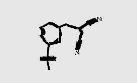 CC(C)(C)c1[c]ccc(C=C(C#N)C#N)c1